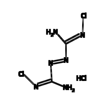 Cl.NC(=N/Cl)/N=N/C(N)=N/Cl